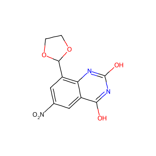 O=[N+]([O-])c1cc(C2OCCO2)c2nc(O)nc(O)c2c1